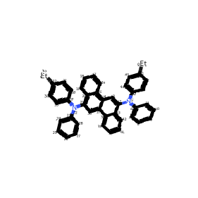 CCc1ccc(N(c2ccccc2)c2cc3c4ccccc4c(N(c4ccccc4)c4ccc(CC)cc4)cc3c3ccccc23)cc1